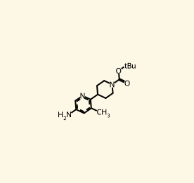 Cc1cc(N)cnc1C1CCN(C(=O)OC(C)(C)C)CC1